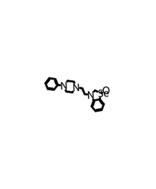 O=[Se]1CN(CCN2CCN(c3ccccc3)CC2)c2ccccc21